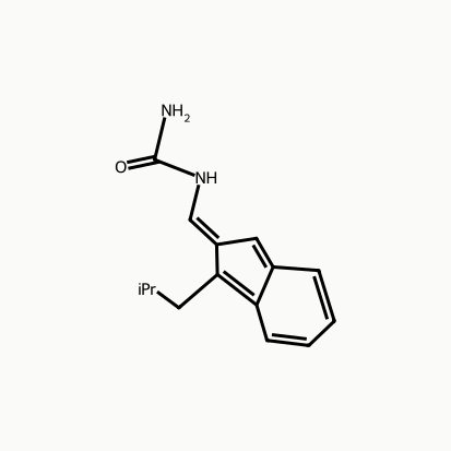 CC(C)CC1=c2ccccc2=CC1=CNC(N)=O